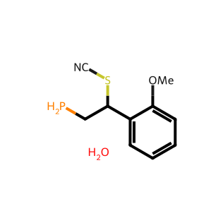 COc1ccccc1C(CP)SC#N.O